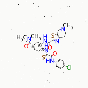 CN1CCc2nc(C(=O)N[C@@H]3C[C@@H](C(=O)N(C)C)CC[C@@H]3NC(=S)C(=O)Nc3ccc(Cl)cc3)sc2C1